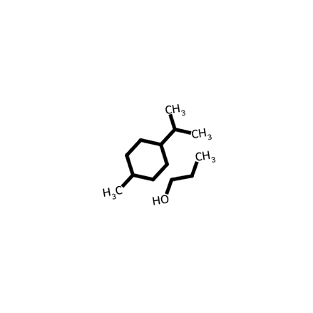 CC1CCC(C(C)C)CC1.CCCO